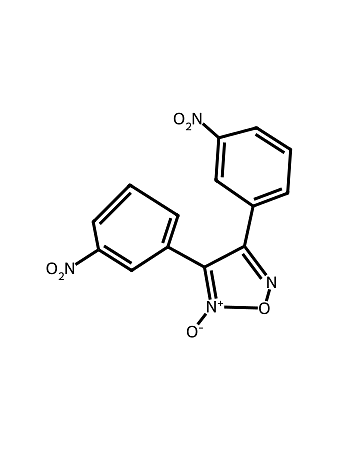 O=[N+]([O-])c1cccc(-c2no[n+]([O-])c2-c2cccc([N+](=O)[O-])c2)c1